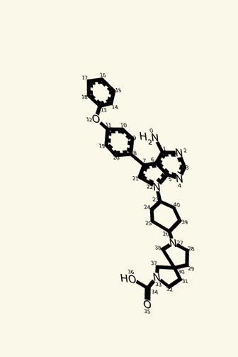 Nc1ncnc2c1c(-c1ccc(Oc3ccccc3)cc1)cn2C1CCC(N2CCC3(CCN(C(=O)O)C3)C2)CC1